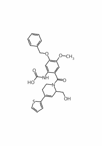 COc1cc(C(=O)N2CCC(c3cccs3)=CC2CO)c(NC(=O)O)cc1OCc1ccccc1